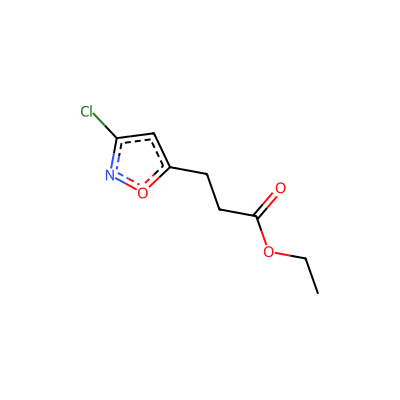 CCOC(=O)CCc1cc(Cl)no1